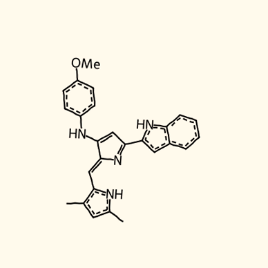 COc1ccc(NC2=CC(c3cc4ccccc4[nH]3)=NC2=Cc2[nH]c(C)cc2C)cc1